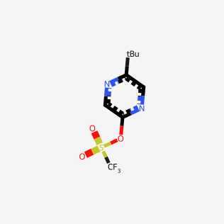 CC(C)(C)c1cnc(OS(=O)(=O)C(F)(F)F)cn1